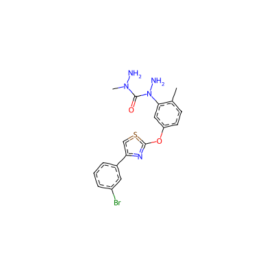 Cc1ccc(Oc2nc(-c3cccc(Br)c3)cs2)cc1N(N)C(=O)N(C)N